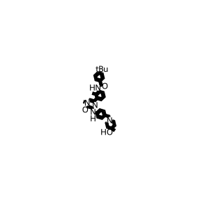 Cc1c(NC(=O)c2ccc(C(C)(C)C)cc2)cccc1-c1cn(C)c(=O)c(Nc2ccc(CN3CCC(C)(O)CC3)cc2)n1